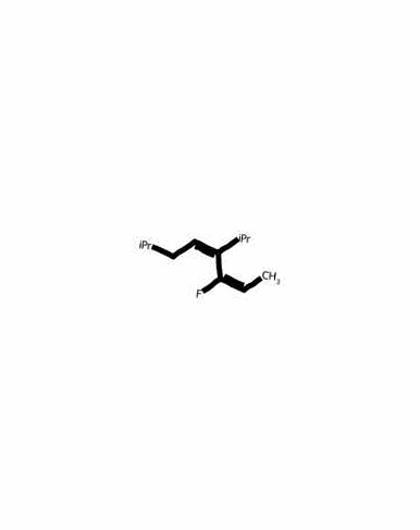 C/C=C(F)\C(=C/CC(C)C)C(C)C